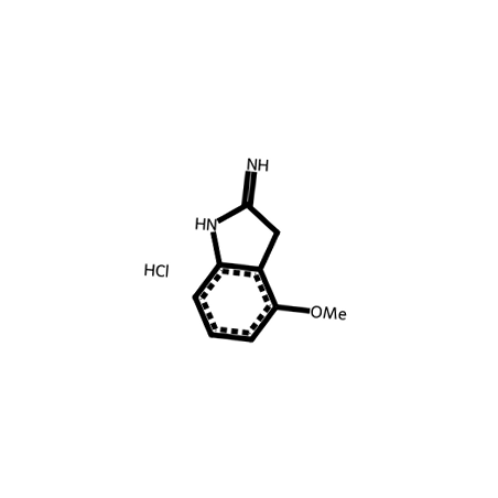 COc1cccc2c1CC(=N)N2.Cl